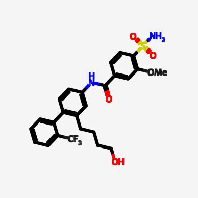 COc1cc(C(=O)Nc2ccc(-c3ccccc3C(F)(F)F)c(CCCCO)c2)ccc1S(N)(=O)=O